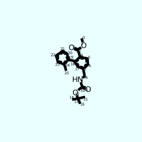 COC(=O)c1ccc(CNC(=O)OC(C)(C)C)cc1-c1ccccc1C